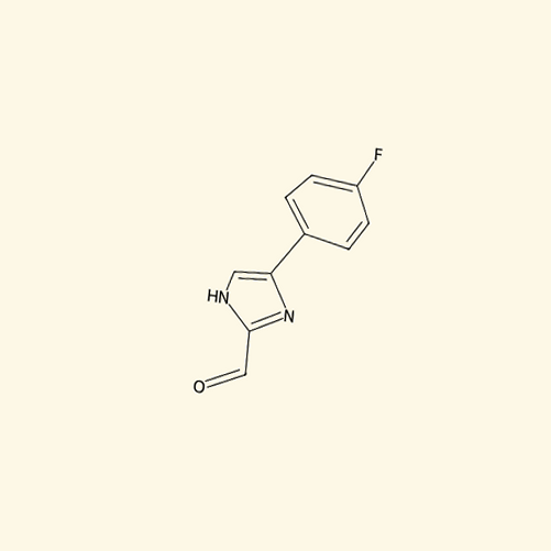 O=Cc1nc(-c2ccc(F)cc2)c[nH]1